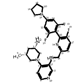 C[C@@H]1C[C@H](N)CN(c2ccncc2NCc2ccc(F)c(-c3c(F)cc(N4CCCC4)cc3F)n2)C1